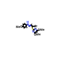 COc1ccc(NN=CC(Sc2nc(OC)cc(OC)n2)C(C)C)cc1